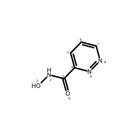 O=C(NO)c1cccnn1